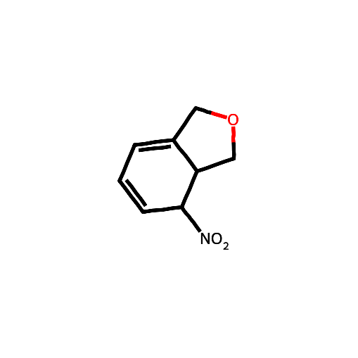 O=[N+]([O-])C1C=CC=C2COCC21